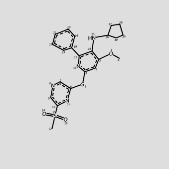 COc1cc(Sc2cncc(S(C)(=O)=O)n2)nc(-c2ccccc2)c1NC1CCCC1